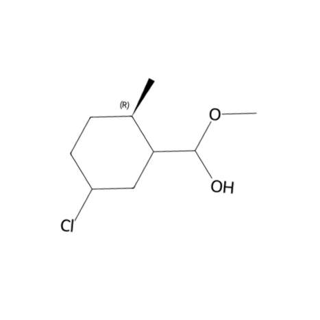 COC(O)C1CC(Cl)CC[C@H]1C